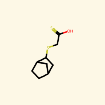 OC(=S)CSC1CC2CCC1C2